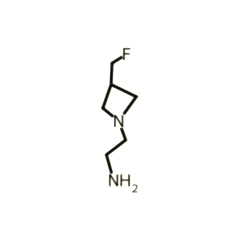 NCCN1CC(CF)C1